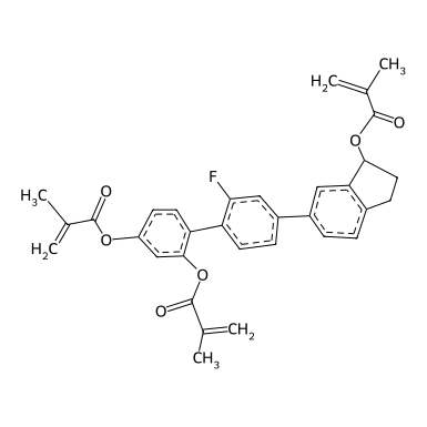 C=C(C)C(=O)Oc1ccc(-c2ccc(-c3ccc4c(c3)C(OC(=O)C(=C)C)CC4)cc2F)c(OC(=O)C(=C)C)c1